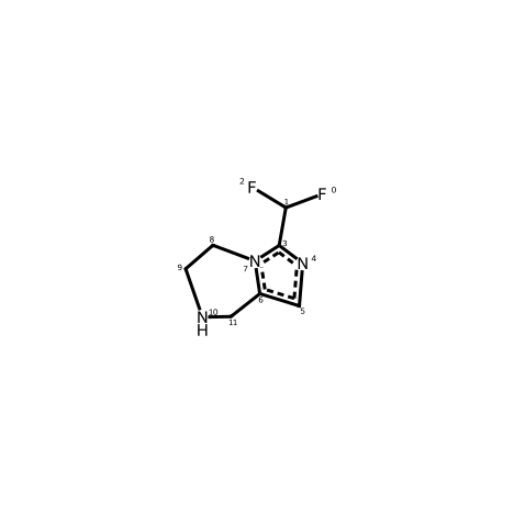 FC(F)c1ncc2n1CCNC2